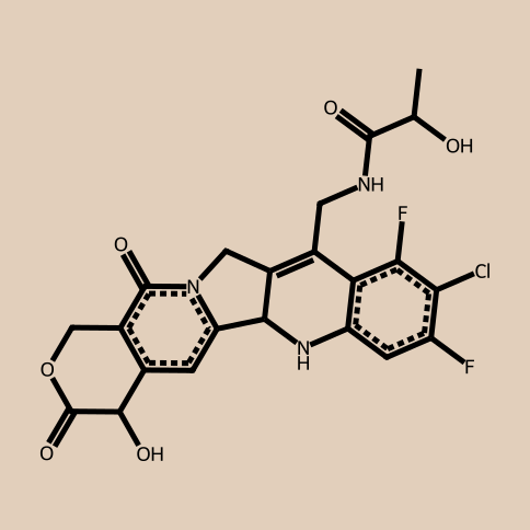 CC(O)C(=O)NCC1=C2Cn3c(cc4c(c3=O)COC(=O)C4O)C2Nc2cc(F)c(Cl)c(F)c21